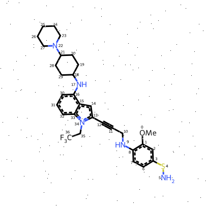 COc1cc(SN)ccc1NCC#Cc1cc2c(NC3CCC(N4CCCCC4)CC3)cccc2n1CC(F)(F)F